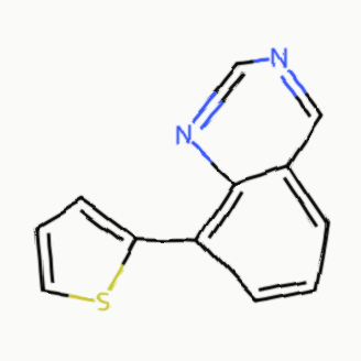 c1csc(-c2cccc3cncnc23)c1